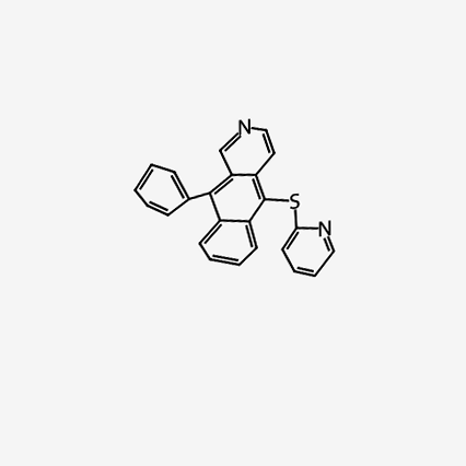 c1ccc(-c2c3ccccc3c(Sc3ccccn3)c3ccncc23)cc1